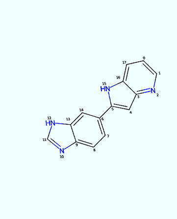 c1cnc2cc(-c3ccc4nc[nH]c4c3)[nH]c2c1